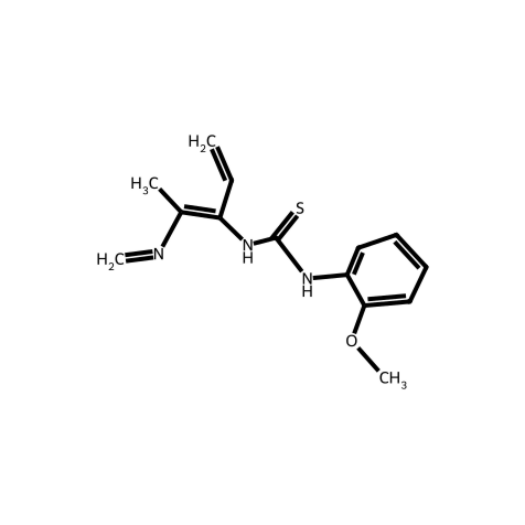 C=C/C(NC(=S)Nc1ccccc1OC)=C(\C)N=C